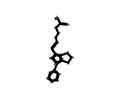 O=C(O)CCCC=Cc1nn(-c2ccccc2)c2c1CCC2